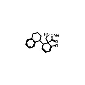 COC(=O)C1(CO)C(Cl)=CC=CC1C1CCCc2ccccc21